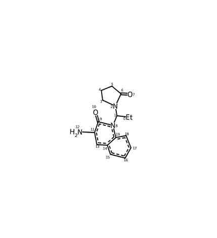 CCC(N1CCCC1=O)n1c(=O)c(N)cc2ccccc21